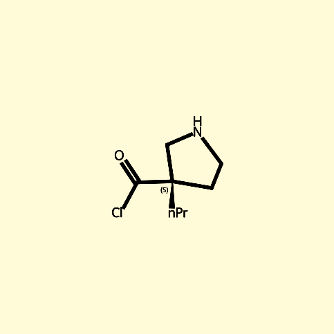 CCC[C@]1(C(=O)Cl)CCNC1